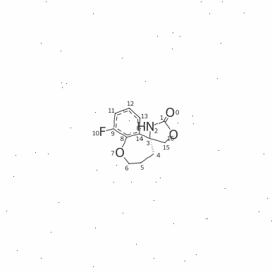 O=C1N[C@@]2(CCCOc3c(F)cccc32)CO1